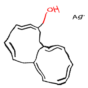 Oc1cccc2ccccc12.[Ag]